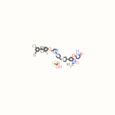 Cn1c(=O)n(C2CCC(=O)NC2=O)c2ccc(C3CCN(CC4CCN(c5nccc(COc6ccc(C(C)(C)c7cc(Cl)cc(C#N)c7)cc6)n5)CC4)CC3)cc21.O=C(O)C(F)(F)F